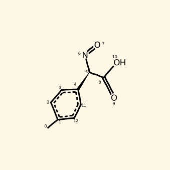 Cc1ccc([C@@H](N=O)C(=O)O)cc1